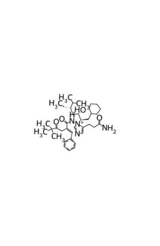 CC[C@@H](C[C@H](O)[C@@H](CC1CCCCC1)[N@+]1(NC(=O)C(=Cc2ccccc2)CC(=O)C(C)(C)C)C=NC=C1CCC(N)=O)C(C)C